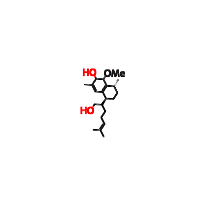 COC1C2=C(C=C(C)C1O)[C@H](C(CO)CCC=C(C)C)CC[C@H]2C